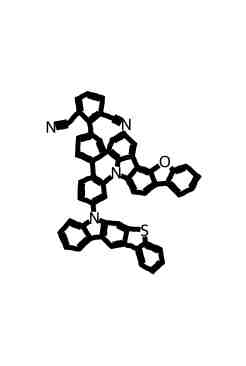 N#Cc1cccc(C#N)c1-c1ccc(-c2ccc(-n3c4ccccc4c4cc5c(cc43)sc3ccccc35)cc2-n2c3ccccc3c3c4oc5ccccc5c4ccc32)cc1